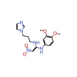 COc1ccc(N/C(=C/[N+](=O)[O-])NCCCn2ccnc2)cc1OC